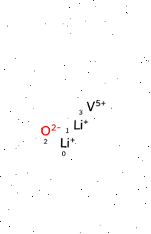 [Li+].[Li+].[O-2].[V+5]